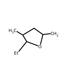 [CH2]C1CC(C)C(CC)O1